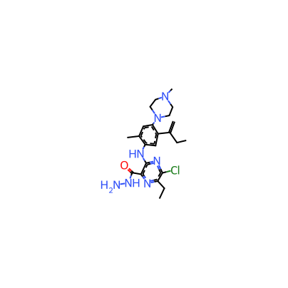 C=C(CC)c1cc(Nc2nc(Cl)c(CC)nc2C(=O)NN)c(C)cc1N1CCN(C)CC1